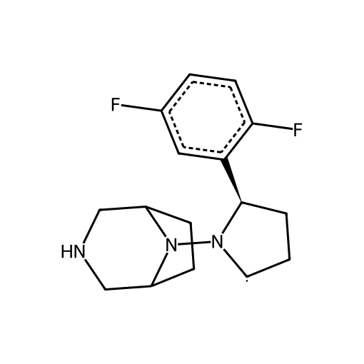 Fc1ccc(F)c([C@H]2CC[CH]N2N2C3CCC2CNC3)c1